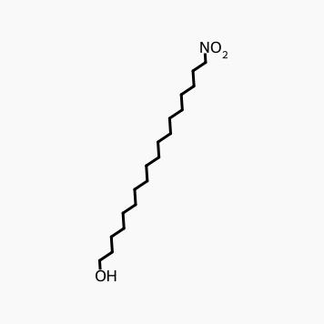 O=[N+]([O-])CCCCCCCCCCCCCCCCCCO